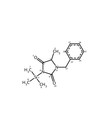 CC1C(=O)N([Si](C)(C)C)C(=O)N1Cc1ccccc1